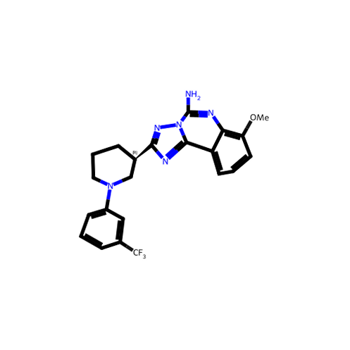 COc1cccc2c1nc(N)n1nc([C@@H]3CCCN(c4cccc(C(F)(F)F)c4)C3)nc21